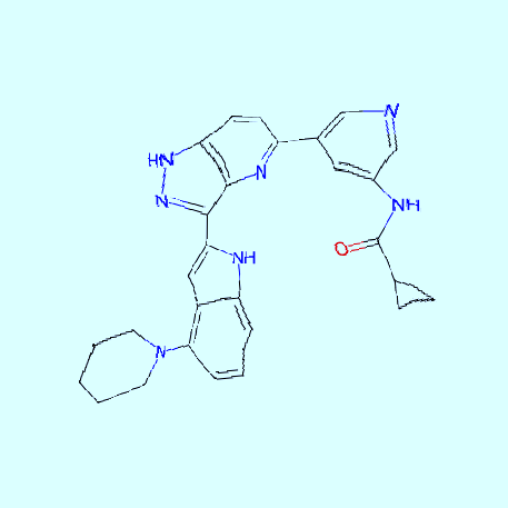 O=C(Nc1cncc(-c2ccc3[nH]nc(-c4cc5c(N6CCCCC6)cccc5[nH]4)c3n2)c1)C1CC1